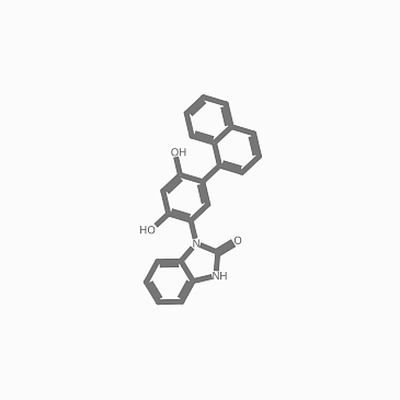 O=c1[nH]c2ccccc2n1-c1cc(-c2cccc3ccccc23)c(O)cc1O